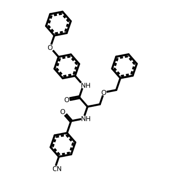 N#Cc1ccc(C(=O)NC(COCc2ccccc2)C(=O)Nc2ccc(Oc3ccccc3)cc2)cc1